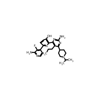 CCCc1c(-c2nc(-c3ccnc(N)c3F)ccc2O)nc(N)nc1C1CCN(C(C)C)CC1